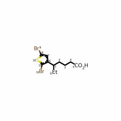 CCC(CCCC(=O)O)c1cc(Br)sc1Br